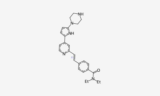 CCN(CC)C(=O)c1ccc(/C=C/c2cc(-c3ccc(N4CCNCC4)[nH]3)ccn2)cc1